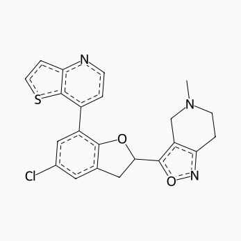 CN1CCc2noc(C3Cc4cc(Cl)cc(-c5ccnc6ccsc56)c4O3)c2C1